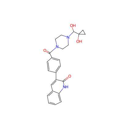 O=C(c1ccc(-c2cc3ccccc3[nH]c2=O)cc1)N1CCN(C(O)C2(O)CC2)CC1